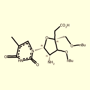 CCCCOC[C@@]1(CC(=O)O)O[C@@H](n2cc(C)c(=O)[nH]c2=O)[C@@H](N)C1OCCCC